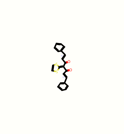 O=C(/C=C/c1ccccc1)C(C(=O)/C=C/c1ccccc1)=C1SC=CS1